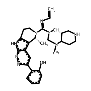 C=C/N=C(\N(C)CN(CCC)C1CCNCC1)N1CCc2[nH]c3nnc(-c4ccccc4O)cc3c2[C@H]1C